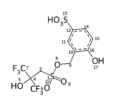 O=S(=O)(CC(O)(C(F)(F)F)C(F)(F)F)OCc1cc(S(=O)(=O)O)ccc1O